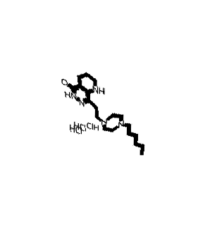 CCCCCCN1CCN(CCc2n[nH]c(=O)c3c2NCCC3)CC1.Cl.Cl.Cl